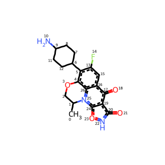 CC1COc2c(C3CCC(N)CC3)c(F)cc3c(=O)c4c(=O)[nH]oc4n1c23